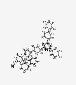 N#Cc1ccc2c(c1)C1(c3ccccc3-c3ccccc31)c1cc(-c3ccc(-c4nc(-c5ccccc5)nc(-c5ccc(-c6ccccc6)cc5)n4)cc3)ccc1-2